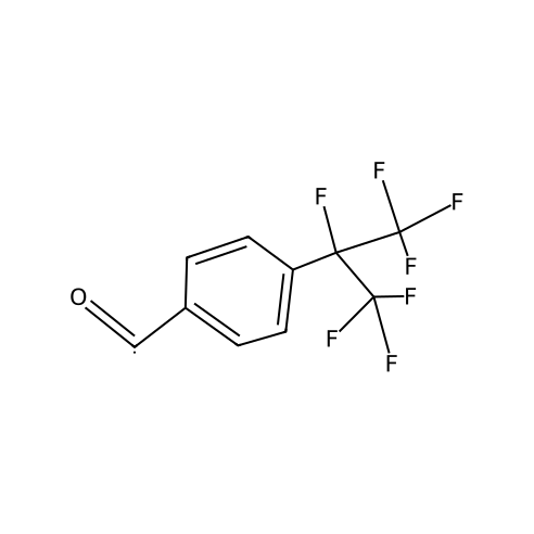 O=[C]c1ccc(C(F)(C(F)(F)F)C(F)(F)F)cc1